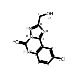 O=c1[nH]c2ccc(Cl)cc2c2nc(CO)nn12